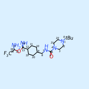 CC(C)(C)N1CCN(C(=O)NCC2CCC(C(=N)OC(N)C(F)(F)F)CC2)CC1